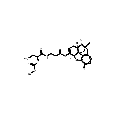 CN1CC[C@]23c4c5ccc(O)c4O[C@H]2C(OC(=O)CCNC(=O)C(CC(=O)O)OC(=O)OC(C)(C)C)=CC[C@@]3(O)[C@H]1C5